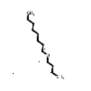 C[CH]CCOCCCCCCCC